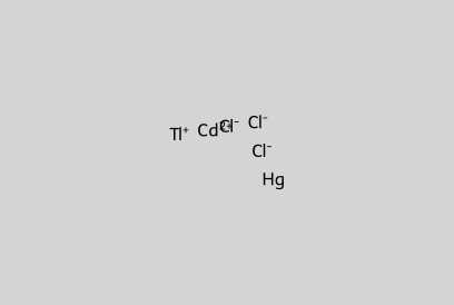 [Cd+2].[Cl-].[Cl-].[Cl-].[Hg].[Tl+]